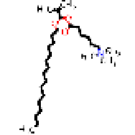 C=C(C)C(OCCCCCCCCCCCCCCCC)OC(=O)CCCCC[N+](C)(C)C